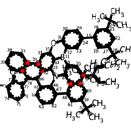 C=C/C(=C\C)c1ccc2c(c1)B1c3cc(-c4cc(C(C)(C)C)cc(C(C)(C)C)c4)ccc3Oc3cc(-c4ccccc4)cc(c31)N2c1c(-c2cc(C(C)(C)C)cc(C(C)(C)C)c2)cccc1-c1cccc2oc3ccccc3c12